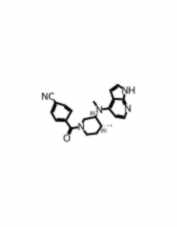 C[C@@H]1CCN(C(=O)c2ccc(C#N)cc2)C[C@@H]1N(C)c1ccnc2[nH]ccc12